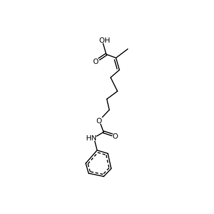 CC(=CCCCCOC(=O)Nc1ccccc1)C(=O)O